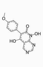 COc1ccc(-c2c(O)c3cncnc3n(O)c2=O)cc1